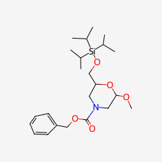 COC1CN(C(=O)OCc2ccccc2)CC(CO[Si](C(C)C)(C(C)C)C(C)C)O1